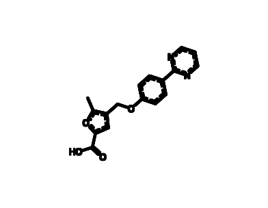 Cc1oc(C(=O)O)cc1COc1ccc(-c2ncccn2)cc1